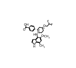 COc1cc(C)c2[nH]ccc2c1NN1CC[C@H](OCC(F)F)C[C@H]1c1ccc(C(=O)O)cc1